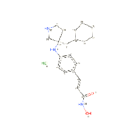 Cl.O=C(/C=C/c1ccc(N[C@]2(CC3CCCCC3)CCNC2)cc1)NO